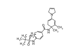 C=C(/C=C\C(=C/C)C(=O)NC1(C)CC=C(N2CC=CC2)C=C1C)NS(=O)(=O)C(C)(C)C